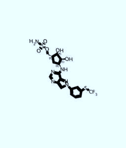 NS(=O)(=O)OC[C@H]1C[C@@H](Nc2ncnc3cn(-c4cccc(SC(F)(F)F)c4)nc23)[C@H](O)[C@@H]1O